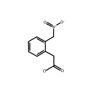 O=C(Cl)Cc1ccccc1C[N+](=O)[O-]